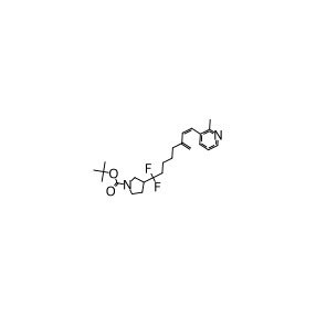 C=C(/C=C\c1cccnc1C)CCCCC(F)(F)C1CCN(C(=O)OC(C)(C)C)C1